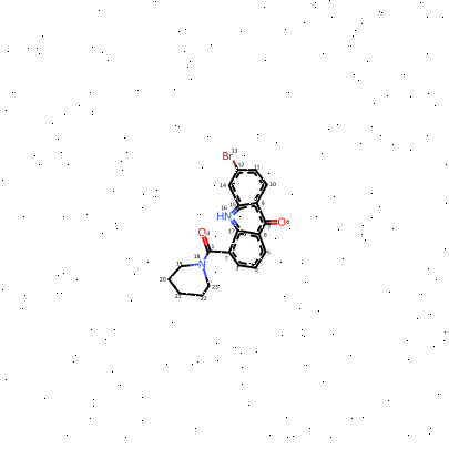 O=C(c1cccc2c(=O)c3ccc(Br)cc3[nH]c12)N1CCCCC1